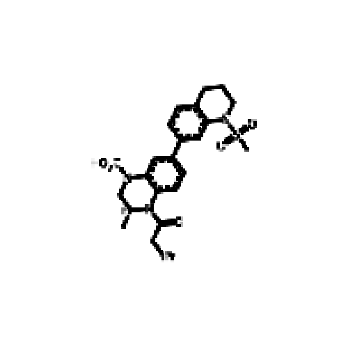 CC(C)CC(=O)N1c2ccc(-c3ccc4c(c3)N(S(C)(=O)=O)CCC4)cc2N(C(=O)O)C[C@@H]1C